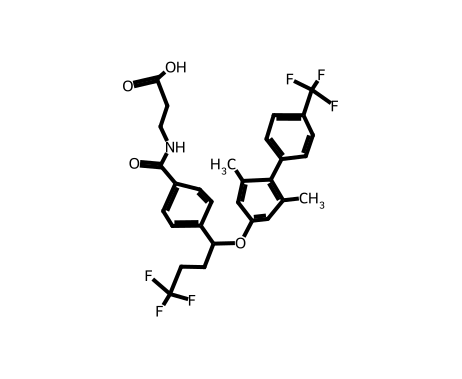 Cc1cc(OC(CCC(F)(F)F)c2ccc(C(=O)NCCC(=O)O)cc2)cc(C)c1-c1ccc(C(F)(F)F)cc1